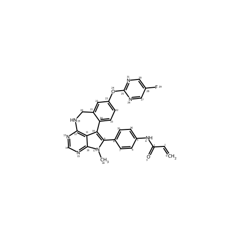 C=CC(=O)Nc1ccc(-c2c3c4c(ncnc4n2C)NCc2cc(Oc4ncc(F)cn4)ccc2-3)cc1